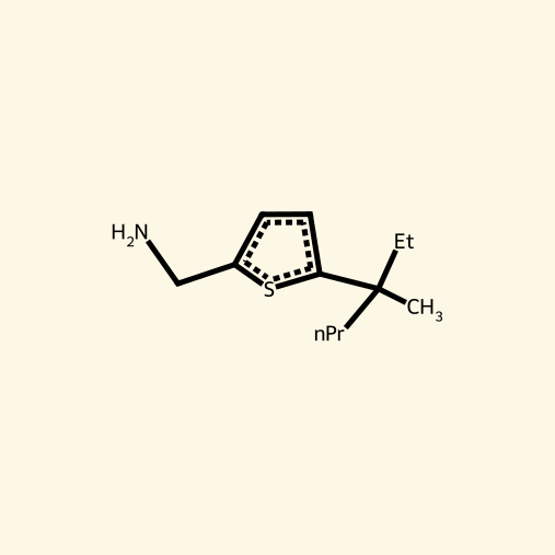 CCCC(C)(CC)c1ccc(CN)s1